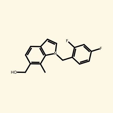 Cc1c(CO)ccc2ccn(Cc3ccc(F)cc3F)c12